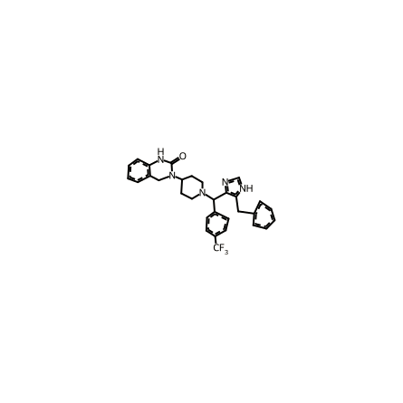 O=C1Nc2ccccc2CN1C1CCN(C(c2ccc(C(F)(F)F)cc2)c2nc[nH]c2Cc2ccccc2)CC1